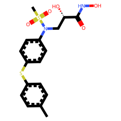 Cc1ccc(Sc2ccc(N(C[C@H](O)C(=O)NO)S(C)(=O)=O)cc2)cc1